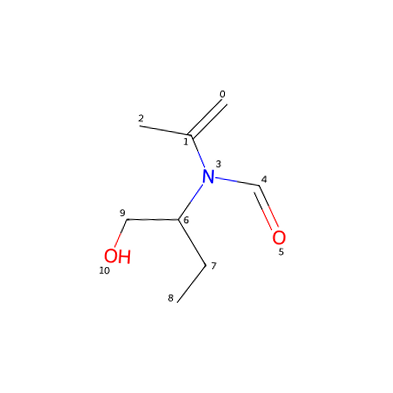 C=C(C)N(C=O)C(CC)CO